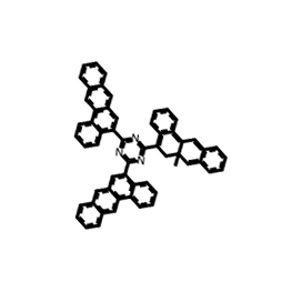 CC12C=c3ccccc3=CC1=c1ccccc1=C(c1nc(-c3cc4cc5ccccc5cc4c4ccccc34)nc(-c3cc4cc5ccccc5cc4c4ccccc34)n1)C2